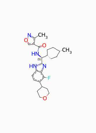 Cc1nocc1C(=O)N[C@H](c1nc2c(F)c(C3CCOCC3)ccc2[nH]1)[C@H]1CC[C@@H](C)CC1